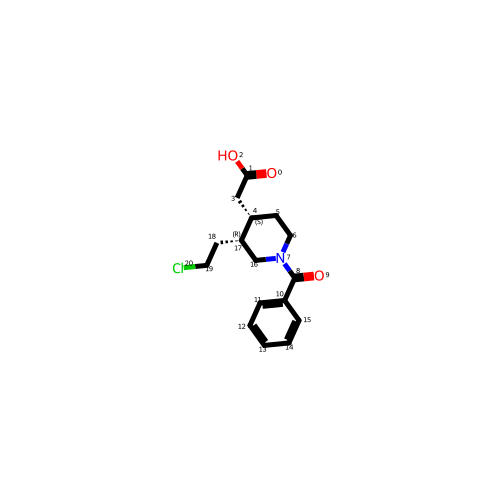 O=C(O)C[C@@H]1CCN(C(=O)c2ccccc2)C[C@@H]1CCCl